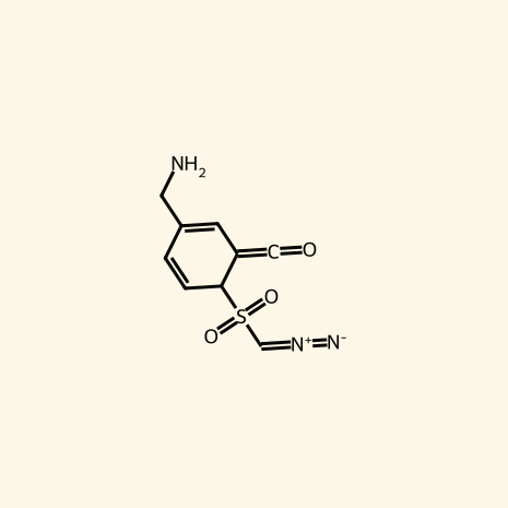 [N-]=[N+]=CS(=O)(=O)C1C=CC(CN)=CC1=C=O